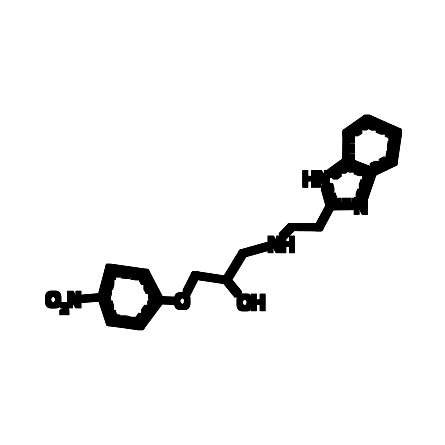 O=[N+]([O-])c1ccc(OCC(O)CNCCc2nc3ccccc3[nH]2)cc1